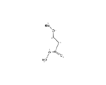 CCC(C)OCCC(=O)OO